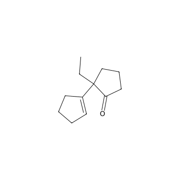 CCC1(C2=CCCC2)CCCC1=O